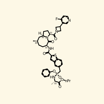 CCCOC(=O)[C@H](C)NP(=O)(Cc1ccc2sc(C(=O)N[C@H]3CC[C@@H](C)C[C@H]4CC[C@@H](C(=O)N5CC(c6cnccc6F)C5)N4C3=O)cc2c1)Oc1ccccc1